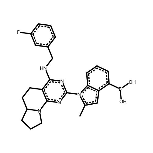 Cc1cc2c(B(O)O)cccc2n1-c1nc(NCc2cccc(F)c2)c2c(n1)N1CCCC1CC2